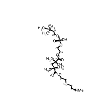 CNCCOCCOC(=O)C(C)(C)CC(C)(C)C(=O)OCCOP(=O)(O)OCC[N+](C)(C)C